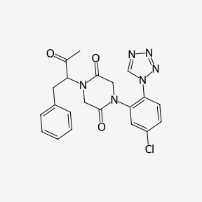 CC(=O)C(Cc1ccccc1)N1CC(=O)N(c2cc(Cl)ccc2-n2cnnn2)CC1=O